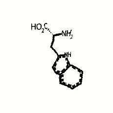 N[C@H](Cc1cc2ccccc2[nH]1)C(=O)O